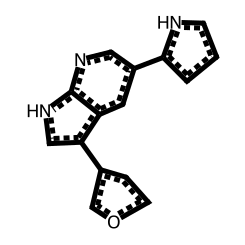 c1c[nH]c(-c2cnc3[nH]cc(-c4ccoc4)c3c2)c1